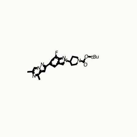 Cc1cn2nc(-c3cc(F)c4nn(C5CCN(C(=O)OC(C)(C)C)CC5)cc4c3)cc2c(C)n1